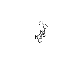 Clc1cccc(-c2csc(-n3cnc4ccccc43)n2)c1